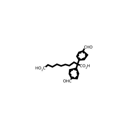 O=Cc1ccc(C(CCCCCCCC(=O)O)(C(=O)O)c2ccc(C=O)cc2)cc1